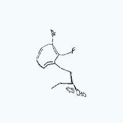 C[C@H](C=O)Cc1cccc(Br)c1F